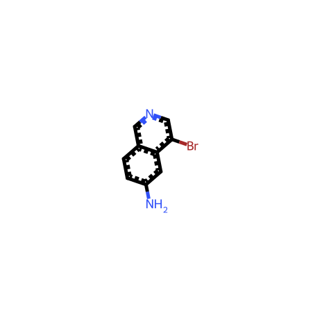 Nc1ccc2cncc(Br)c2c1